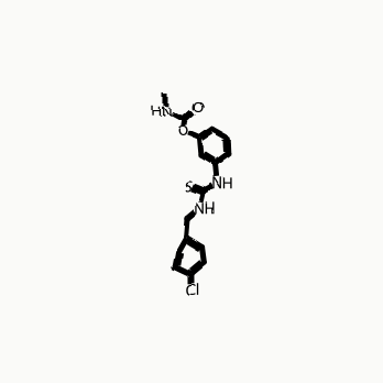 CNC(=O)Oc1cccc(NC(=S)NCc2ccc(Cl)cc2)c1